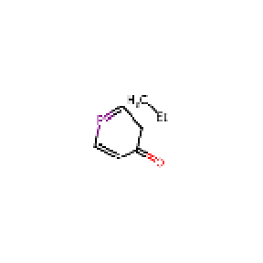 CCC.O=C1C=CP=CC1